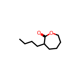 CCCC[C]1CCCCOC1=O